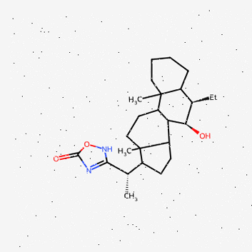 CC[C@@H]1C2CCCCC2(C)C2CCC3(C)C(CCC3[C@H](C)c3nc(=O)o[nH]3)C2[C@@H]1O